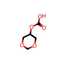 O=C(O)OC1COCOC1